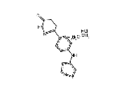 Cl.O.O.O.O=C1CCC(c2ccc(Nc3ccncc3)cc2)=NN1